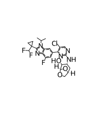 CC(C)n1c(C2(C(F)F)CC2)nc2c(F)cc(-c3nc(N[C@@H]4C[C@H]5CO[C@H](O5)[C@H]4O)ncc3Cl)cc21